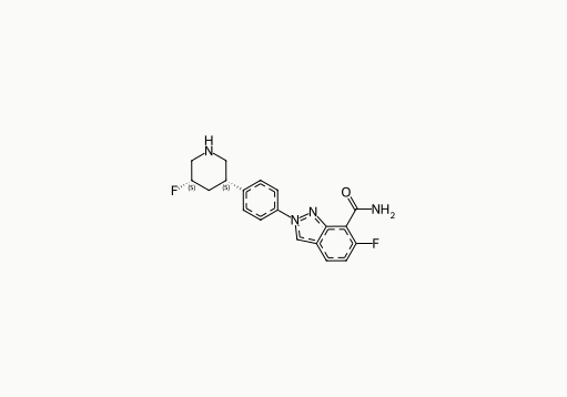 NC(=O)c1c(F)ccc2cn(-c3ccc([C@H]4CNC[C@@H](F)C4)cc3)nc12